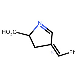 CC/C=C1\C=NC(C(=O)O)C1